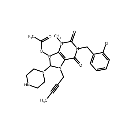 CC#CCN1c2c(n(C)c(=O)n(Cc3ccccc3Cl)c2=O)N(OC(=O)C(F)(F)F)C1N1CCNCC1